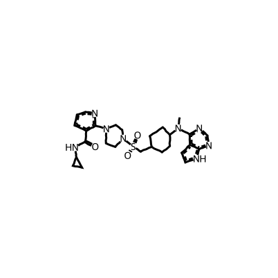 CN(c1ncnc2[nH]ccc12)C1CCC(CS(=O)(=O)N2CCN(c3ncccc3C(=O)NC3CC3)CC2)CC1